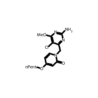 CCCCCOc1ccn(Cc2nc(N)nc(OC)c2Cl)c(=O)c1